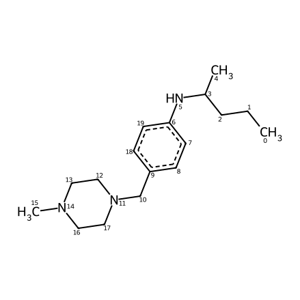 CCCC(C)Nc1ccc(CN2CCN(C)CC2)cc1